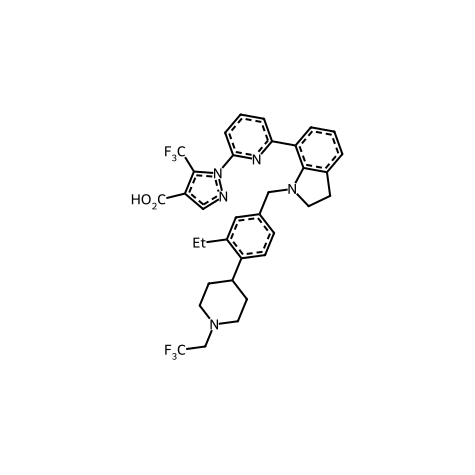 CCc1cc(CN2CCc3cccc(-c4cccc(-n5ncc(C(=O)O)c5C(F)(F)F)n4)c32)ccc1C1CCN(CC(F)(F)F)CC1